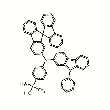 C[Si](C)(C)c1ccc(N(c2ccc3c(c2)C2(c4ccccc4-c4ccccc42)c2ccccc2-3)c2ccc3c4ccccc4n(-c4ccccc4)c3c2)cc1